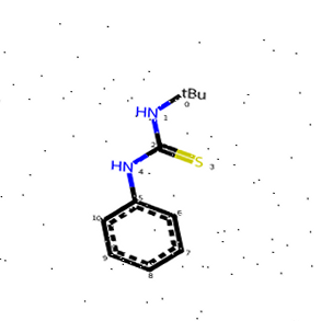 CC(C)(C)NC(=S)Nc1ccccc1